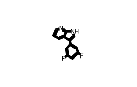 Fc1cc(F)cc(-c2c[nH]c3ncccc23)c1